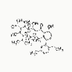 CCc1ccc(C)cc1-c1ccc(O)c2c1C[C@]1(C)C[C@]3(C)C(C(C)C)C(O)=C(C(C)=O)C(=O)[C@]3(O)C(O)=C1C2=O